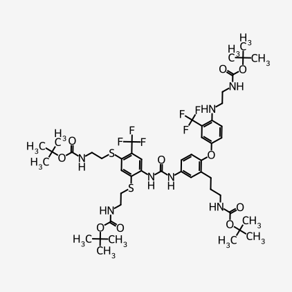 CC(C)(C)OC(=O)NCCCc1cc(NC(=O)Nc2cc(C(F)(F)F)c(SCCNC(=O)OC(C)(C)C)cc2SCCNC(=O)OC(C)(C)C)ccc1Oc1ccc(NCCNC(=O)OC(C)(C)C)c(C(F)(F)F)c1